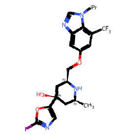 CC(C)n1cnc2cc(OC[C@@H]3C[C@@](O)(c4cnc(I)o4)C[C@H](C)N3)cc(C(F)(F)F)c21